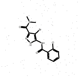 CN(C)C(=O)c1n[nH]c(NC(=O)c2ccccc2Cl)c1Br